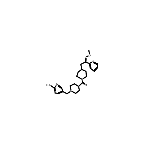 CO/N=C(/CC1CCN(C(=O)C2CCN(Cc3cnc(N)nc3)CC2)CC1)c1ccccn1